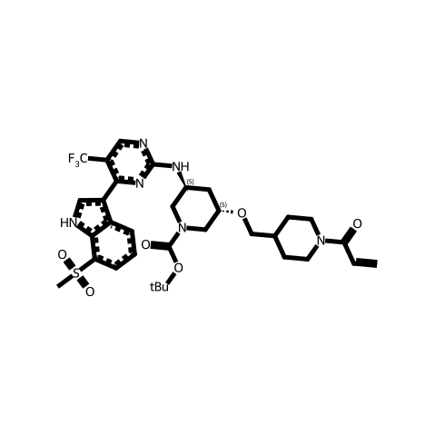 C=CC(=O)N1CCC(CO[C@H]2C[C@H](Nc3ncc(C(F)(F)F)c(-c4c[nH]c5c(S(C)(=O)=O)cccc45)n3)CN(C(=O)OC(C)(C)C)C2)CC1